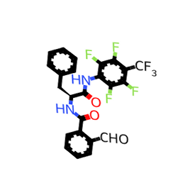 O=Cc1ccccc1C(=O)N[C@@H](Cc1ccccc1)C(=O)Nc1c(F)c(F)c(C(F)(F)F)c(F)c1F